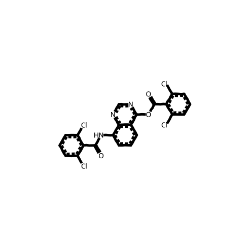 O=C(Nc1cccc2c(OC(=O)c3c(Cl)cccc3Cl)ncnc12)c1c(Cl)cccc1Cl